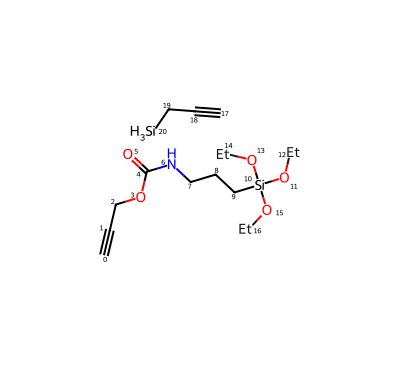 C#CCOC(=O)NCCC[Si](OCC)(OCC)OCC.C#CC[SiH3]